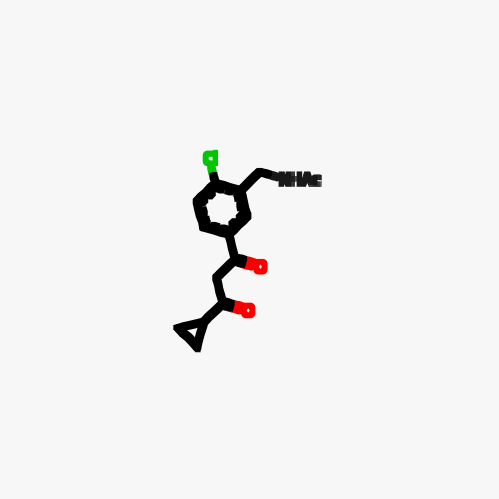 CC(=O)NCc1cc(C(=O)CC(=O)C2CC2)ccc1Cl